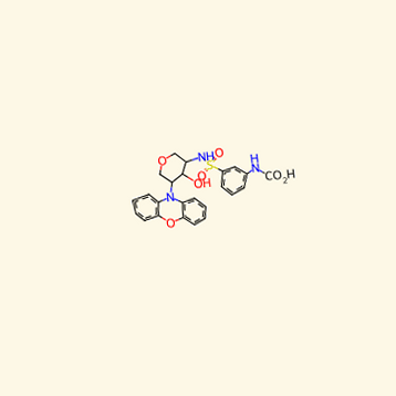 O=C(O)Nc1cccc(S(=O)(=O)NC2COCC(N3c4ccccc4Oc4ccccc43)C2O)c1